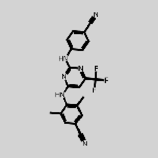 Cc1cc(C#N)cc(C)c1Nc1cc(C(F)(F)F)nc(Nc2ccc(C#N)cc2)n1